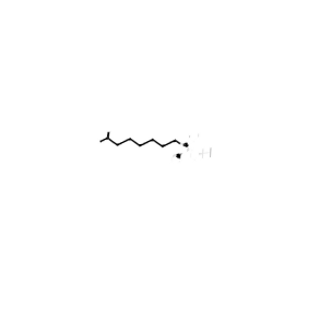 O=S(=O)(O)CCCCCCC(F)F